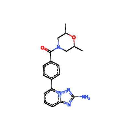 CC1CN(C(=O)c2ccc(-c3cccc4nc(N)nn34)cc2)CC(C)O1